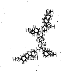 O=C(OC(CCN1CCC(O)(c2ccc3cc(O)ccc3c2)CC1)Oc1cccc2[nH]ccc12)C(=O)OC(CCN1CCC(O)(c2ccc3cc(O)ccc3c2)CC1)Oc1cccc2[nH]ccc12